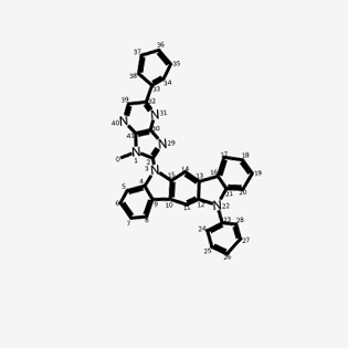 Cn1c(-n2c3ccccc3c3cc4c(cc32)c2ccccc2n4-c2ccccc2)nc2nc(-c3ccccc3)cnc21